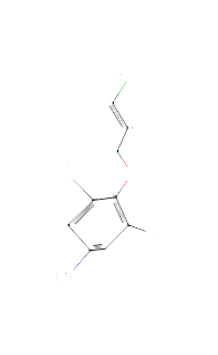 Nc1cc(Br)c(OC/C=C/Cl)c(C(F)(F)F)c1